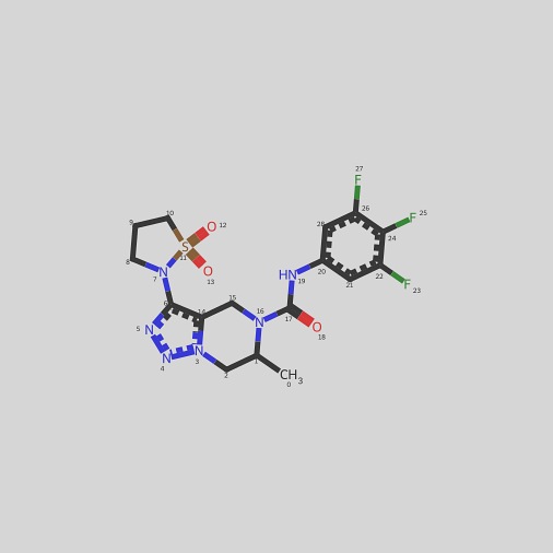 CC1Cn2nnc(N3CCCS3(=O)=O)c2CN1C(=O)Nc1cc(F)c(F)c(F)c1